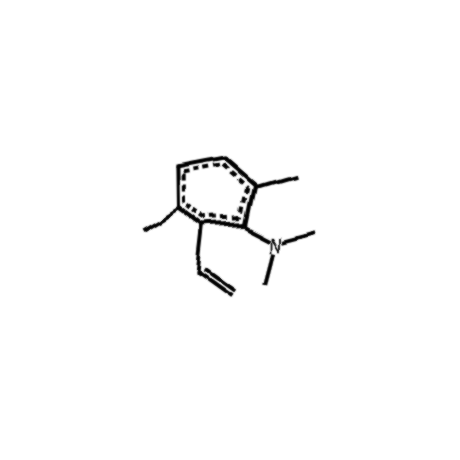 C=Cc1c(C)ccc(C)c1N(C)C